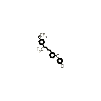 FC(F)(F)Oc1ccc(C(CCCc2cccc(Oc3ccc(Cl)cc3)c2)C(F)(F)F)cc1